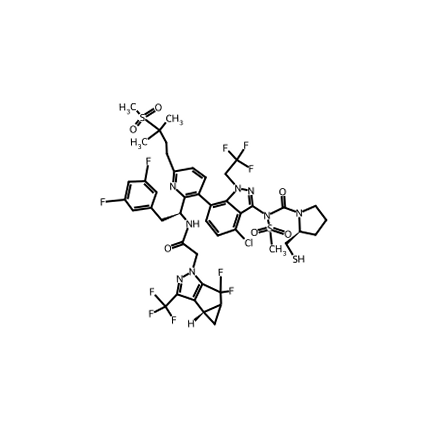 CC(C)(CCc1ccc(-c2ccc(Cl)c3c(N(C(=O)N4CCC[C@H]4CS)S(C)(=O)=O)nn(CC(F)(F)F)c23)c([C@H](Cc2cc(F)cc(F)c2)NC(=O)Cn2nc(C(F)(F)F)c3c2C(F)(F)C2C[C@H]32)n1)S(C)(=O)=O